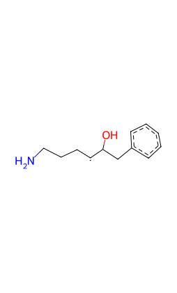 NCCC[CH]C(O)Cc1ccccc1